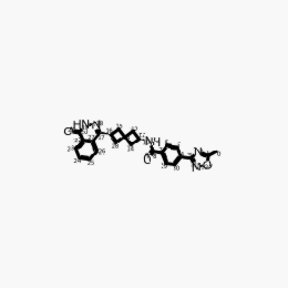 Cc1nc(-c2ccc(C(=O)N[C@H]3CC4(C3)C[C@H](c3n[nH]c(=O)c5ccccc53)C4)cc2)no1